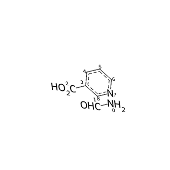 NC=O.O=C(O)c1cccnc1